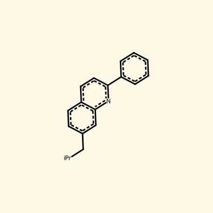 CC(C)Cc1ccc2ccc(-c3ccccc3)nc2c1